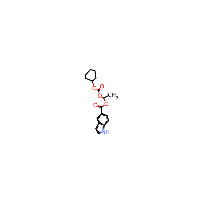 CC(OC(=O)OC1CCCCC1)OC(=O)c1ccc2[nH]ccc2c1